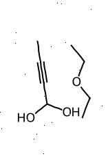 CC#CC(O)O.CCOCC